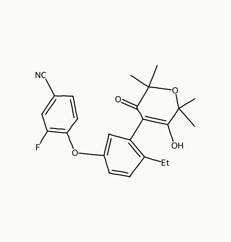 CCc1ccc(Oc2ccc(C#N)cc2F)cc1C1=C(O)C(C)(C)OC(C)(C)C1=O